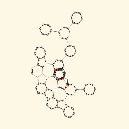 C1=CCCC(n2c3c4c(ccc3c3ccc5c6ccccc6n(-c6nc(-c7ccccc7)nc(-c7ccccc7)n6)c5c32)C2C=Cc3c(n(-c5cccc(-c6cccc(-c7nc(-c8ccccc8)nc(-c8ccccc8)n7)c6)c5)c5ccccc35)C2N4c2ccccc2)=C1